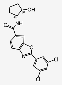 O=C(N[C@@H]1CCC[C@H]1O)c1ccc2nc(-c3cc(Cl)cc(Cl)c3)oc2c1